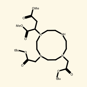 COC(=O)CC(C(=O)OC)N1CCNCCN(CC(=O)OC(C)(C)C)CCN(CC(=O)OC(C)(C)C)CC1